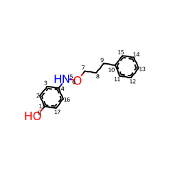 Oc1ccc(NOCCCc2ccccc2)cc1